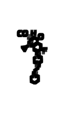 O=C(O)c1cn(C2CC2)c2cc(N3CCN(CCN4CCCCC4)CC3)c(F)cc2c1=O